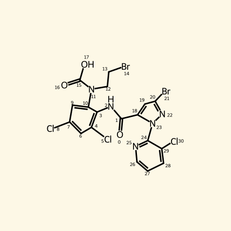 O=C(Nc1c(Cl)cc(Cl)cc1N(CCBr)C(=O)O)c1cc(Br)nn1-c1ncccc1Cl